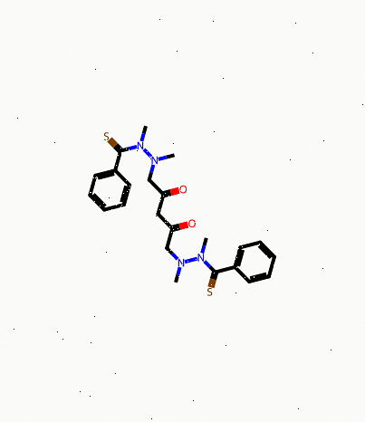 CN(CC(=O)CC(=O)CN(C)N(C)C(=S)c1ccccc1)N(C)C(=S)c1ccccc1